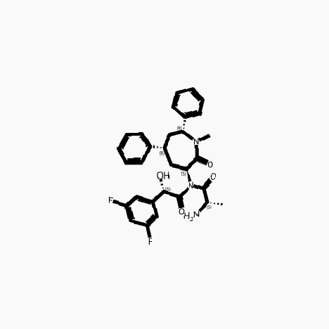 C[C@H](N)C(=O)N(C(=O)[C@@H](O)c1cc(F)cc(F)c1)[C@H]1C[C@H](c2ccccc2)C[C@H](c2ccccc2)N(C)C1=O